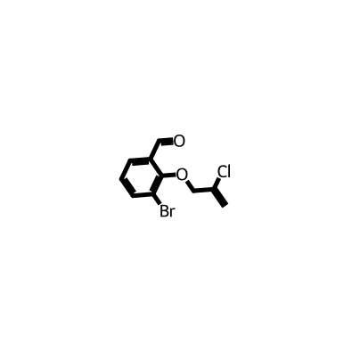 C=C(Cl)COc1c(Br)cccc1C=O